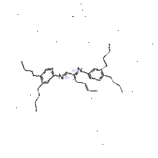 CCCCC(/C=N/c1ccc(CCCC)c(CCCC)c1)=N\c1ccc(CCCC)c(CCCC)c1